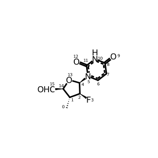 C[C@H]1[C@H](F)[C@H](n2ccc(=O)[nH]c2=O)O[C@@H]1C=O